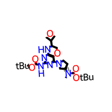 CN(C(=O)OC(C)(C)C)[C@@H]1CCN(c2nc(NC(=O)OC(C)(C)C)nc3c2OCC(C2COC2)N3)C1